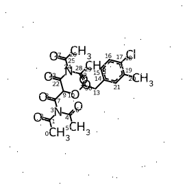 CC(=O)N(C(C)=O)C(=O)C(OC(=O)Cc1ccc(Cl)c(C)c1)C(=O)N(C(C)=O)C(C)=O